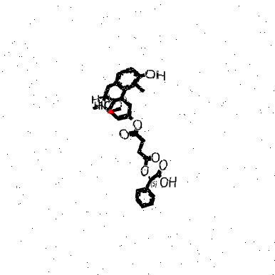 Cc1c(O)ccc2c1[C@]13CCN(C)[C@H](C2)[C@]1(O)CC=C(OC(=O)CCC(=O)O[C@H](C(=O)O)c1ccccc1)C3